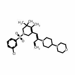 C=C/C(=C\C1=C(C)C(C)(C)CN(S(=O)(=O)c2cccc(Cl)c2)C1)N1CCC(N2CCOCC2)CC1